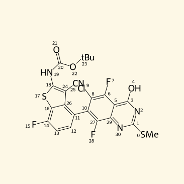 CSc1nc(O)c2c(F)c(Cl)c(-c3ccc(F)c4sc(NC(=O)OC(C)(C)C)c(C#N)c34)c(F)c2n1